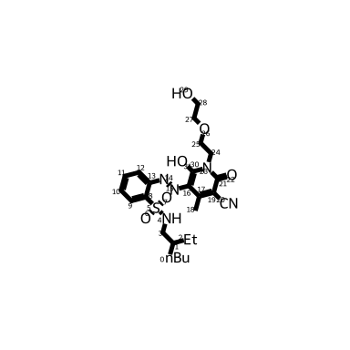 CCCCC(CC)CNS(=O)(=O)c1ccccc1/N=N/c1c(C)c(C#N)c(=O)n(CCOCCO)c1O